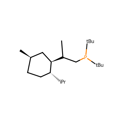 CC(C)[C@@H]1CC[C@@H](C)C[C@H]1C(C)CP(C(C)(C)C)C(C)(C)C